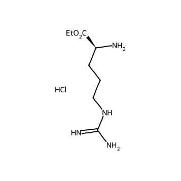 CCOC(=O)[C@@H](N)CCCNC(=N)N.Cl